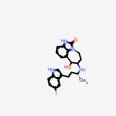 C[C@H](CCc1c[nH]c2ccc(F)cc12)NC1CCn2c(=O)[nH]c3cccc(c32)C1O